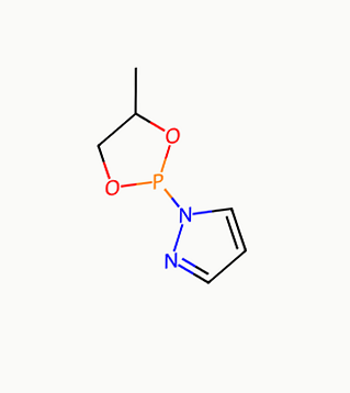 CC1COP(n2cccn2)O1